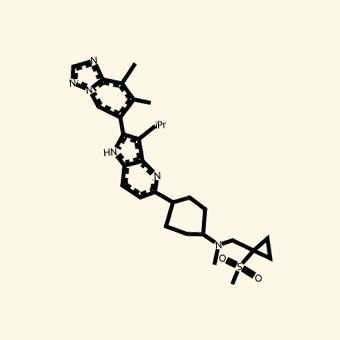 Cc1c(-c2[nH]c3ccc(C4CCC(N(C)CC5(S(C)(=O)=O)CC5)CC4)nc3c2C(C)C)cn2ncnc2c1C